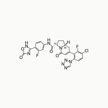 O=C(Nc1ccc(-c2nc(=O)o[nH]2)c(F)c1)[C@@H]1CC[C@@H]2CC(c3c(-n4cnnn4)ccc(Cl)c3F)=CC(=O)N21